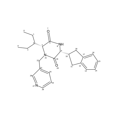 CCC(CC)[C@@H]1C(=O)N[C@H](C2Cc3ccccc3C2)C(=O)N1Cc1cccnc1